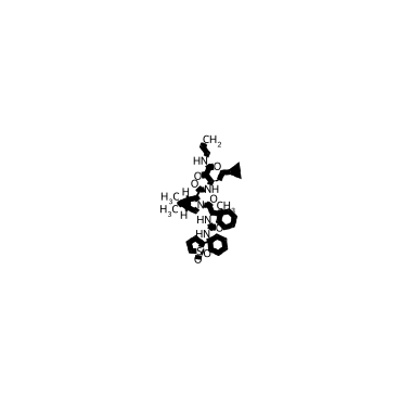 C=CCNC(=O)C(=O)[C@H](CCC1CC1)NC(=O)[C@@H]1[C@@H]2[C@H](CN1C(=O)[C@@H](NC(=O)NC1([C@@H]3CCCS3(=O)=O)CCCCC1)C1(C)CCCCC1)C2(C)C